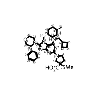 CSC1(C(=O)O)CCN(c2nc(N[C@H](C)C3CCC3)c3c(n2)nc(N2CCOC[C@H]2c2ccccc2)n3C[C@H]2CC[C@H](C)CC2)C1